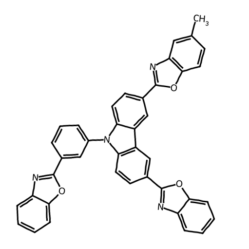 Cc1ccc2oc(-c3ccc4c(c3)c3cc(-c5nc6ccccc6o5)ccc3n4-c3cccc(-c4nc5ccccc5o4)c3)nc2c1